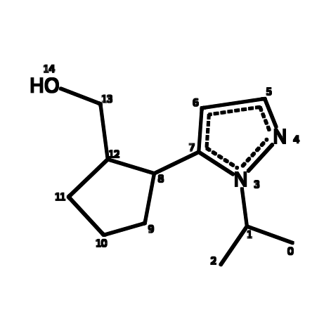 CC(C)n1nccc1C1CCCC1CO